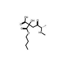 CCCCOC(=O)C(O)(CC(=O)[C@H](C)NC)C(=O)O